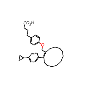 O=C(O)CCCc1ccc(OCC2=C(c3ccc(C4CC4)cc3)CCCCCCCCCC2)cc1